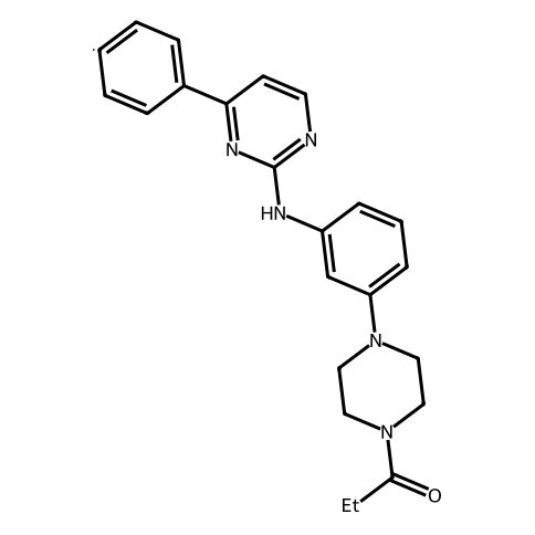 CCC(=O)N1CCN(c2cccc(Nc3nccc(-c4cc[c]cc4)n3)c2)CC1